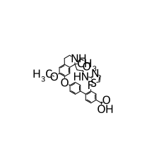 COc1cc2c(cc1Oc1ccc(-c3ccc(C(=O)O)cc3F)cc1)C(C)(CC(=O)Nc1nccs1)NCC2